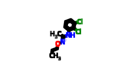 CCCO/N=C(\C)Nc1cccc(Cl)c1Cl